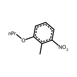 CCCOc1cccc([N+](=O)[O-])c1C